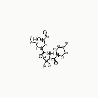 CCCC[C@H](CN(O)C=O)C(=O)NC(C(=O)N1CCC(C)CC1)C(C)(C)C